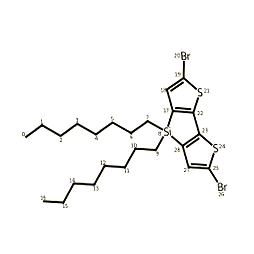 CCCCCCCC[Si]1(CCCCCCCC)c2cc(Br)sc2-c2sc(Br)cc21